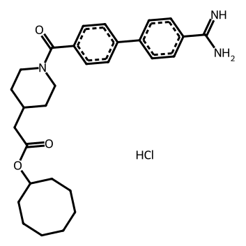 Cl.N=C(N)c1ccc(-c2ccc(C(=O)N3CCC(CC(=O)OC4CCCCCCC4)CC3)cc2)cc1